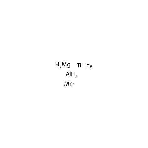 [AlH3].[Fe].[MgH2].[Mn].[Ti]